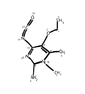 CCOC1=C(O)N(C)C(N)N=C1N=C=O